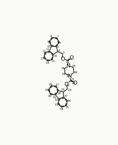 O=C(OCC1c2ccccc2-c2ccccc21)N1CCN(C(=O)OCC2c3ccccc3-c3ccccc32)CC1